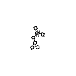 c1ccc(-c2cc(-c3cccc(-c4ccc5c(c4)-c4ccccc4C54CCCCC4)c3)nc(-c3ccccc3)n2)cc1